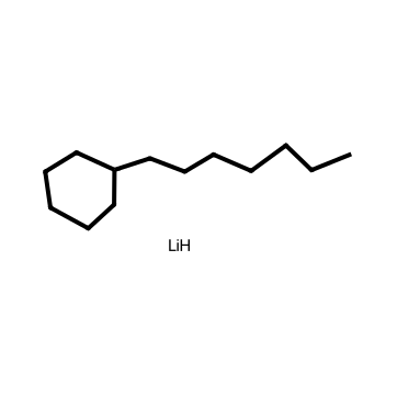 CCCCCCC[C]1CCCCC1.[LiH]